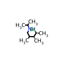 CC(C)NCC(C)[C@H](C)[C@H](C)Br